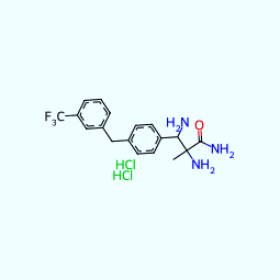 CC(N)(C(N)=O)C(N)c1ccc(Cc2cccc(C(F)(F)F)c2)cc1.Cl.Cl